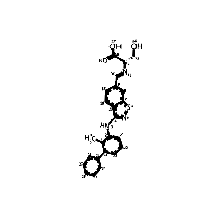 Cc1c(Nc2nsc3cc(C=N[C@@H](CO)C(=O)O)ccc23)cccc1-c1ccccc1